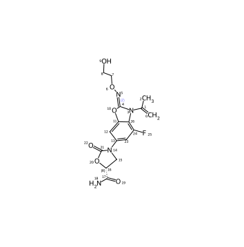 C=C(C)n1/c(=N/OCCO)oc2cc(N3C[C@H](C(N)=O)OC3=O)cc(F)c21